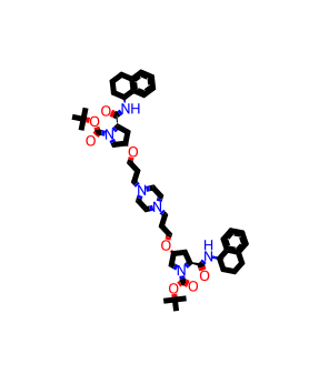 CC(C)(C)OC(=O)N1C[C@@H](OCCCN2CCN(CCCO[C@H]3C[C@@H](C(=O)N[C@@H]4CCCc5ccccc54)N(C(=O)OC(C)(C)C)C3)CC2)C[C@H]1C(=O)N[C@@H]1CCCc2ccccc21